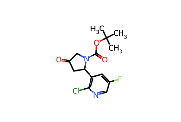 CC(C)(C)OC(=O)N1CC(=O)CC1c1cc(F)cnc1Cl